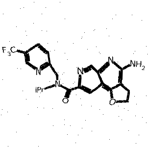 CC(C)N(Cc1ccc(C(F)(F)F)cn1)C(=O)c1cc2c3c(c(N)nc2cn1)CCO3